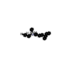 N#Cc1ccc(-c2cccc(C/N=C(\NC(N)c3ccccc3)c3ccc(-c4ccc5cc(-c6c7ccccc7cc7c6ccc6ccccc67)ccc5c4)cc3)c2)cc1